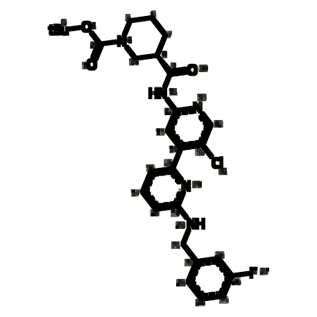 CC(C)(C)OC(=O)N1CCC[C@@H](C(=O)Nc2cc(-c3cccc(NCc4cccc(F)c4)n3)c(Cl)cn2)C1